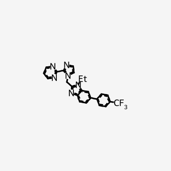 CCn1c(Cn2ccnc2-c2ncccn2)nc2ccc(-c3ccc(C(F)(F)F)cc3)cc21